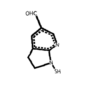 O=Cc1cnc2c(c1)CCN2S